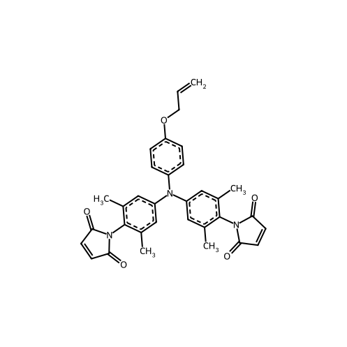 C=CCOc1ccc(N(c2cc(C)c(N3C(=O)C=CC3=O)c(C)c2)c2cc(C)c(N3C(=O)C=CC3=O)c(C)c2)cc1